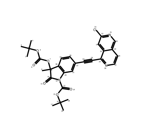 CC(C)(C)OC(=O)OC1(C)C(=O)N(C(=O)OC(C)(C)C)c2cc(C#Cc3nccc4cnc(Cl)cc34)ccc21